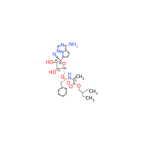 CCC(CC)COC(=O)[C@H](C)NP(=O)(Cc1ccccc1)OC[C@H]1O[C@@](C#N)(c2ccc3c(N)ncnn23)[C@H](O)[C@@H]1O